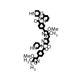 COC1C(c2ccc(C(=O)N(c3ncccc3Cl)[C@@H]3CCCNC3)cc2)=NOC1(C)Cc1cnc(N(C(=O)c2ccc(C3=NOC(C)(C)[C@@H]3OC)cc2)[C@@H]2CCCNC2)c(Cl)c1